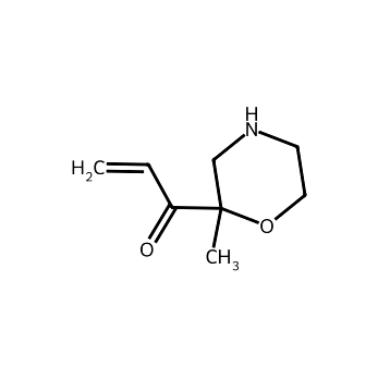 C=CC(=O)C1(C)CNCCO1